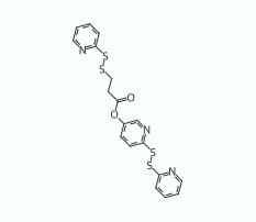 O=C(CCSSc1ccccn1)Oc1ccc(SSc2ccccn2)nc1